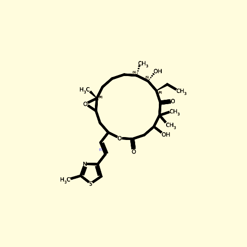 CC[C@H]1C(=O)C(C)(C)C(O)CC(=O)OC(/C=C/c2csc(C)n2)CC2O[C@]2(C)CCC[C@H](C)[C@@H]1O